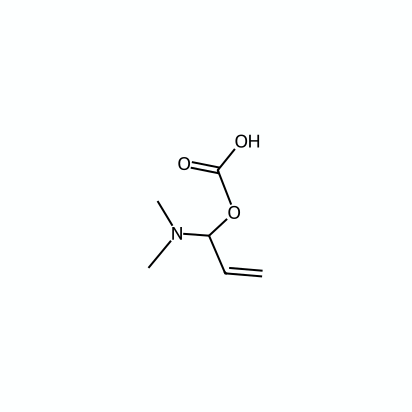 C=CC(OC(=O)O)N(C)C